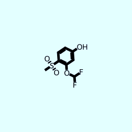 CS(=O)(=O)c1ccc(O)cc1OC(F)F